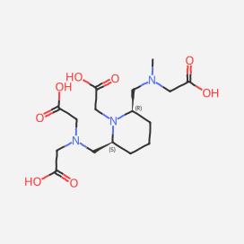 CN(CC(=O)O)C[C@H]1CCC[C@@H](CN(CC(=O)O)CC(=O)O)N1CC(=O)O